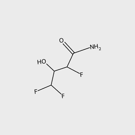 NC(=O)C(F)C(O)C(F)F